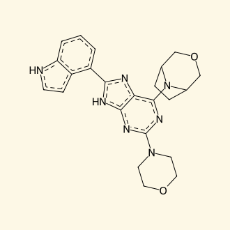 c1cc(-c2nc3c(N4C5CCC4COC5)nc(N4CCOCC4)nc3[nH]2)c2cc[nH]c2c1